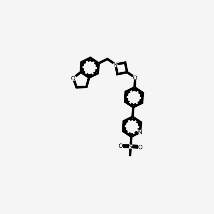 CS(=O)(=O)c1ccc(-c2ccc(OC3CN(Cc4ccc5c(c4)CCO5)C3)cc2)cn1